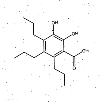 CCCc1c(O)c(O)c(C(=O)O)c(CCC)c1CCC